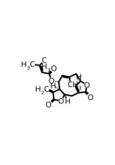 C=C1C(=O)O[C@H]2CC3=C[C@@H](C/C(C)=C/[C@@H](OC(=O)C=C(C)C)[C@H]12)OC3=O